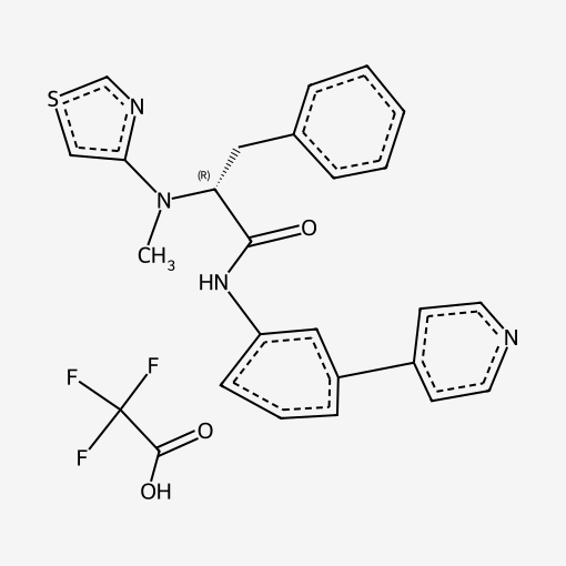 CN(c1cscn1)[C@H](Cc1ccccc1)C(=O)Nc1cccc(-c2ccncc2)c1.O=C(O)C(F)(F)F